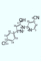 N#Cc1ccnc(-n2nc(-c3ccc(Cl)cc3)cc2O)c1